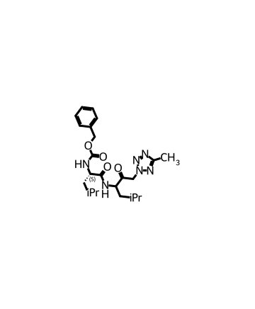 Cc1nnn(CC(=O)C(CC(C)C)NC(=O)[C@H](CC(C)C)NC(=O)OCc2ccccc2)n1